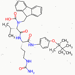 CC(C)[C@@H](C(=O)N[C@@H](CCCNC(N)=O)C(=O)Nc1ccc(O[Si](C)(C)C(C)(C)C)cc1)N(CC1c2ccccc2-c2ccccc21)C(=O)O